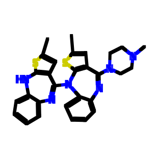 Cc1cc2c(s1)Nc1ccccc1N=C2N1c2ccccc2N=C(N2CCN(C)CC2)c2cc(C)sc21